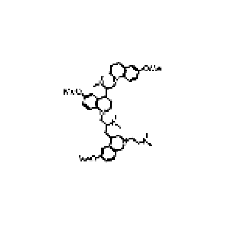 COc1ccc2c(c1)CCCN2CC(C1CCN(CC(CC2CN(CCN(C)C)Cc3ccc(OC)cc32)N(C)C)c2ccc(OC)cc21)N(C)C